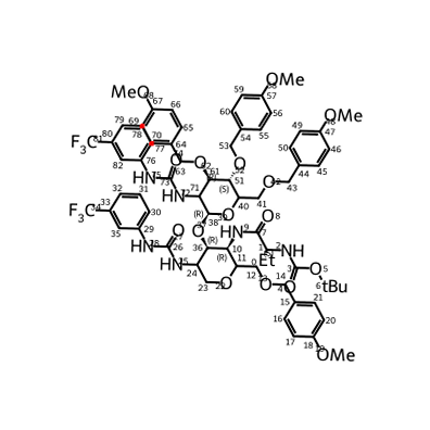 CC[C@H](NC(=O)OC(C)(C)C)C(=O)N[C@H]1C(COCc2ccc(OC)cc2)OCC(NC(=O)Nc2cccc(C(F)(F)F)c2)[C@H]1O[C@@H]1OC(COCc2ccc(OC)cc2)[C@@H](OCc2ccc(OC)cc2)[C@H](OCc2ccc(OC)cc2)C1NC(=O)Nc1cccc(C(F)(F)F)c1